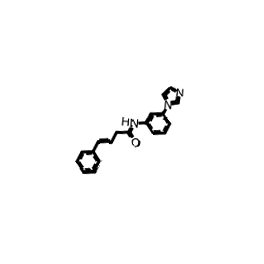 O=C(CC=Cc1ccccc1)Nc1cccc(-n2ccnc2)c1